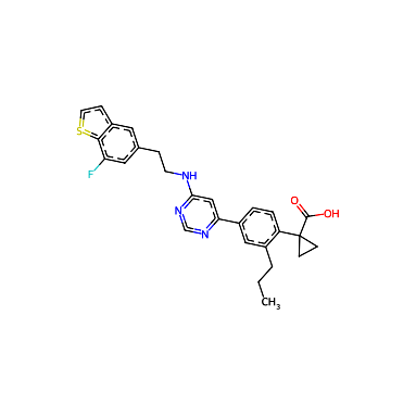 CCCc1cc(-c2cc(NCCc3cc(F)c4sccc4c3)ncn2)ccc1C1(C(=O)O)CC1